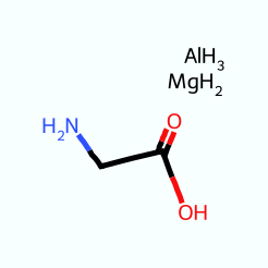 NCC(=O)O.[AlH3].[MgH2]